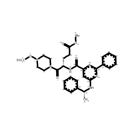 CCOC(=O)ON1CCN(C(=O)[C@H](CCC(=O)OC(C)(C)C)NC(=O)c2cc(N[C@H](C)c3ccccc3)nc(-c3ccccc3)n2)CC1